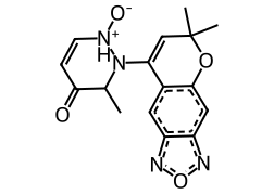 CC1C(=O)C=C[NH+]([O-])N1C1=CC(C)(C)Oc2cc3nonc3cc21